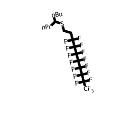 CCCCC(CCC)SCCC(F)(F)C(F)(F)C(F)(F)C(F)(F)C(F)(F)C(F)(F)C(F)(F)C(F)(F)F